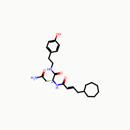 NC(=O)C[C@@H](NC(=O)C=CCC1CCCCCC1)C(=O)NCCc1ccc(O)cc1